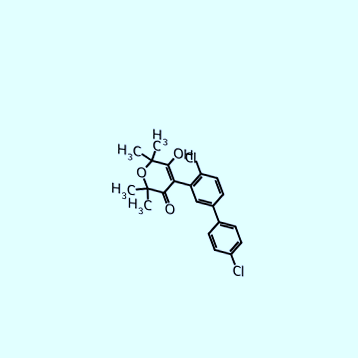 CC1(C)OC(C)(C)C(O)=C(c2cc(-c3ccc(Cl)cc3)ccc2Cl)C1=O